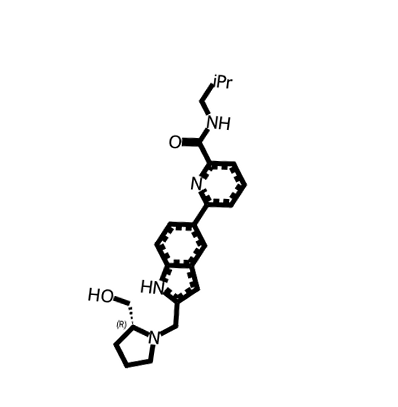 CC(C)CNC(=O)c1cccc(-c2ccc3[nH]c(CN4CCC[C@@H]4CO)cc3c2)n1